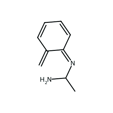 C=C1C=CC=C/C1=N/C(C)N